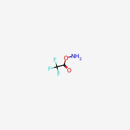 NOC(=O)C(F)(F)F